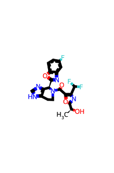 C[C@@H](O)c1nc(C(F)F)c(C(=O)N2CCc3[nH]cnc3[C@H]2c2nc3cc(F)ccc3o2)o1